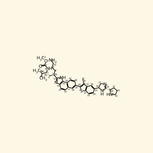 COC(=O)N[C@H](C[C@@H](CCCN)c1nc2ccc3cc(-c4sc5ccc(C6CN=C([C@@H]7CCCN7)N6)cc5c4F)ccc3c2[nH]1)C(C)C